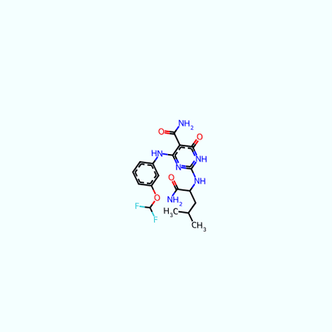 CC(C)CC(Nc1nc(Nc2cccc(OC(F)F)c2)c(C(N)=O)c(=O)[nH]1)C(N)=O